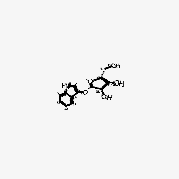 OC[C@H]1O[C@@H](Oc2c[nH]c3ccccc23)[C@H](O)[C@@H]1O